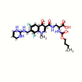 CCCCOC(=O)NC(CNC(=O)c1cn(C)c2c(F)c(CNC3NC=CCN3)c(F)cc2c1=O)C(=O)O